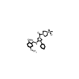 COc1ccc(OC(F)(F)F)cc1CN(C)C1CN(C(=O)N2CCN(S(C)(=O)=O)CC2)CC1c1ccccc1